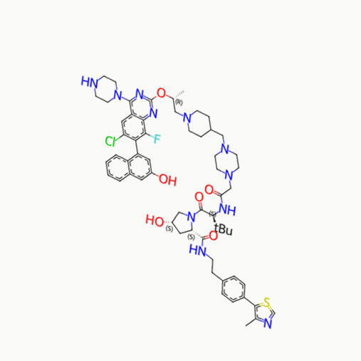 Cc1ncsc1-c1ccc(CCNC(=O)[C@@H]2C[C@H](O)CN2C(=O)[C@@H](NC(=O)CN2CCN(CC3CCN(C[C@@H](C)Oc4nc(N5CCNCC5)c5cc(Cl)c(-c6cc(O)cc7ccccc67)c(F)c5n4)CC3)CC2)C(C)(C)C)cc1